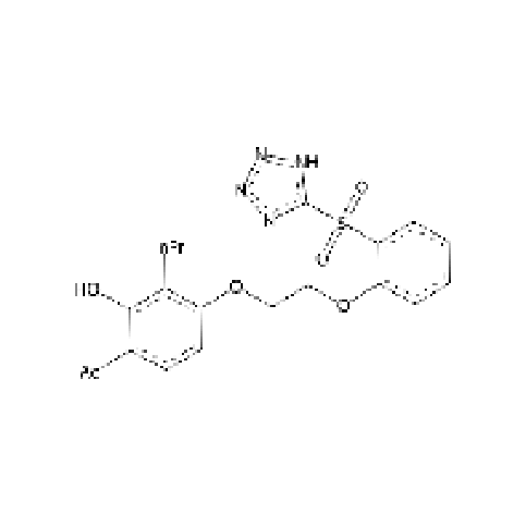 CCCc1c(OCCOc2ccccc2S(=O)(=O)c2nnn[nH]2)ccc(C(C)=O)c1O